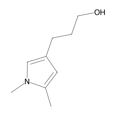 Cc1cc(CCCO)cn1C